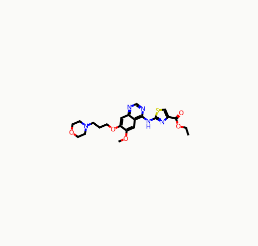 CCOC(=O)c1csc(Nc2ncnc3cc(OCCCN4CCOCC4)c(OC)cc23)n1